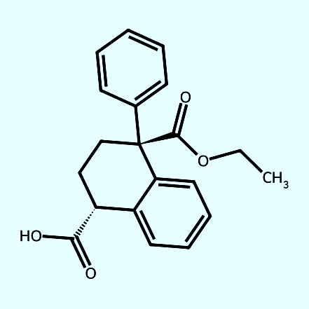 CCOC(=O)[C@]1(c2ccccc2)CC[C@@H](C(=O)O)c2ccccc21